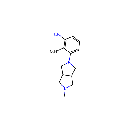 CN1CC2CN(c3cccc(N)c3[N+](=O)[O-])CC2C1